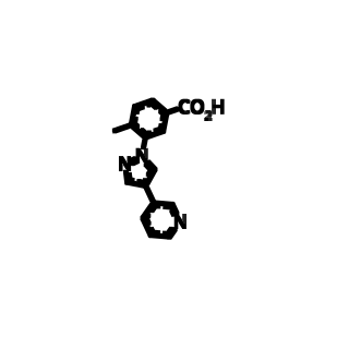 Cc1ccc(C(=O)O)cc1-n1cc(-c2cccnc2)cn1